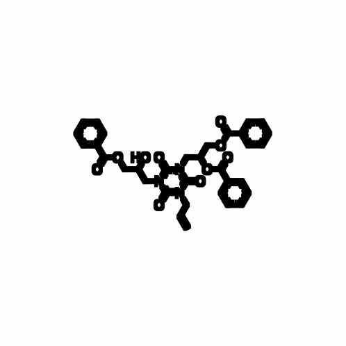 C=CCn1c(=O)n(CC(O)COC(=O)c2ccccc2)c(=O)n(CC(COC(=O)c2ccccc2)OC(=O)c2ccccc2)c1=O